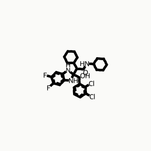 O=C(NC1CCCCC1)C(C1CCCCC1)C1(C(O)c2cccc(Cl)c2Cl)Nc2cc(F)c(F)cc2N1